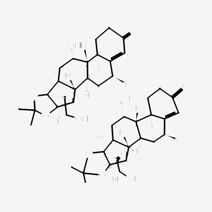 CC1(C)O[C@@H]2C[C@H]3[C@@H]4C[C@H](F)C5=CC(=O)CC[C@]5(C)[C@H]4[C@@H](O)C[C@]3(C)[C@]2(C(=O)CO)O1.CC1(C)O[C@@H]2C[C@H]3[C@@H]4C[C@H](F)C5=CC(=O)CC[C@]5(C)[C@H]4[C@@H](O)C[C@]3(C)[C@]2(C(=O)CO)O1